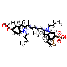 CCCC[N+]1=C(/C=C/C=C/C=C2/N(CCC)c3cc(S(=O)(=O)O)c4sccc4c3C2(C)C)C(C)(C)c2cc(OC=O)ccc21